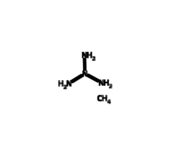 C.NN(N)N